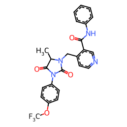 CC1C(=O)N(c2ccc(OC(F)(F)F)cc2)C(=O)N1Cc1ccncc1C(=O)Nc1ccccc1